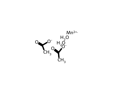 CC(=O)[O-].CC(=O)[O-].O.O.[Mn+2]